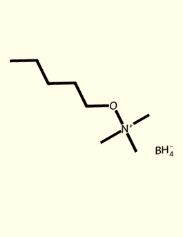 CCCCCO[N+](C)(C)C.[BH4-]